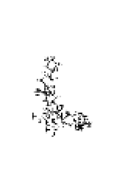 CC1(C)C(=O)N(c2ccc(S(=O)(=O)C(F)(F)F)cc2)C(=O)N1Cc1ccnc(C(=O)N2CCN(c3ccccc3)CC2)c1